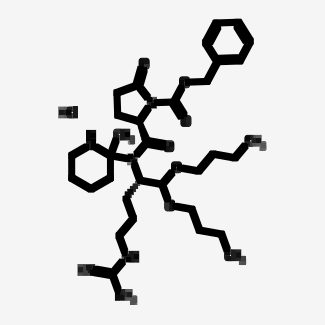 CCCCOC(OCCCC)[C@H](CCCNC(=N)N)N(C(=O)[C@H]1CCC(=O)N1C(=O)OCc1ccccc1)C1(C)CCCCN1.Cl